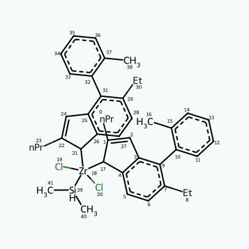 CCCC1=Cc2c(ccc(CC)c2-c2ccccc2C)[CH]1[Zr]([Cl])([Cl])([CH]1C(CCC)=Cc2c1ccc(CC)c2-c1ccccc1C)[SiH](C)C